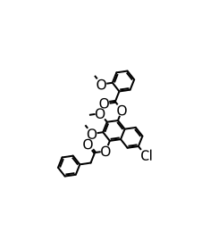 COc1ccccc1C(=O)Oc1c(OC)c(OC)c(OC(=O)Cc2ccccc2)c2cc(Cl)ccc12